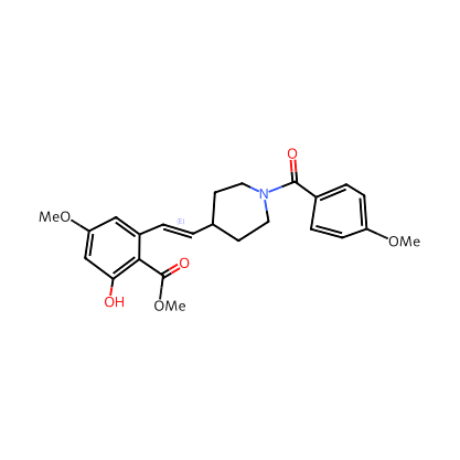 COC(=O)c1c(O)cc(OC)cc1/C=C/C1CCN(C(=O)c2ccc(OC)cc2)CC1